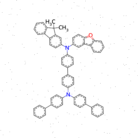 CC1(C)c2ccccc2-c2ccc(N(c3ccc(-c4ccc(N(c5ccc(-c6ccccc6)cc5)c5ccc(-c6ccccc6)cc5)cc4)cc3)c3ccc4oc5ccccc5c4c3)cc21